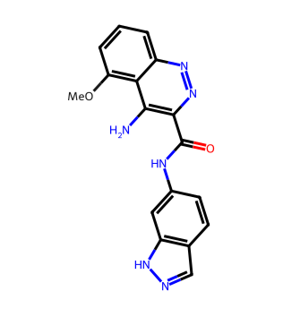 COc1cccc2nnc(C(=O)Nc3ccc4cn[nH]c4c3)c(N)c12